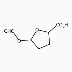 O=COC1CCC(C(=O)O)O1